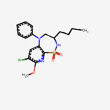 CCCCC1CN(c2ccccc2)c2cc(Br)c(OC)nc2S(=O)(=O)N1